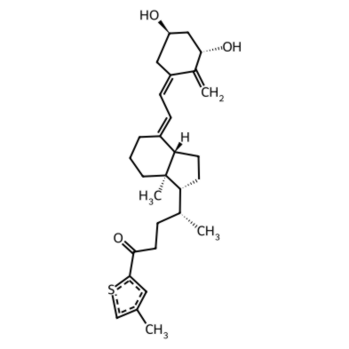 C=C1/C(=C\C=C2/CCC[C@]3(C)[C@@H]([C@H](C)CCC(=O)c4cc(C)cs4)CC[C@@H]23)C[C@@H](O)C[C@@H]1O